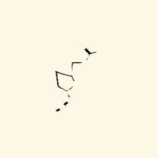 CC(=O)OC[C@@H]1CC[C@H](N=[N+]=[N-])O1